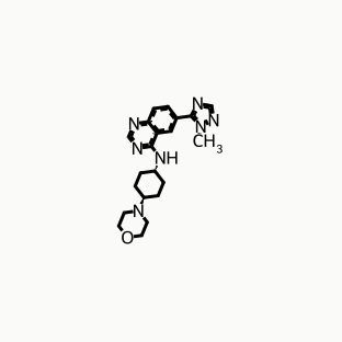 Cn1ncnc1-c1ccc2ncnc(N[C@H]3CC[C@H](N4CCOCC4)CC3)c2c1